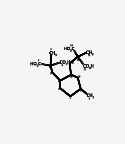 CC1CCC(CC(C)(C(=O)O)C(=O)O)C(CC(C)(C(=O)O)C(=O)O)C1